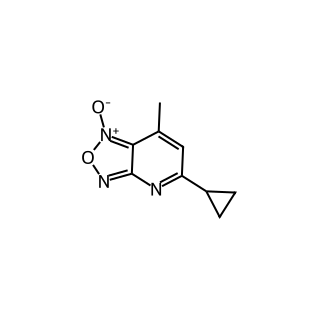 Cc1cc(C2CC2)nc2no[n+]([O-])c12